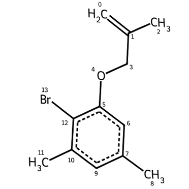 C=C(C)COc1cc(C)cc(C)c1Br